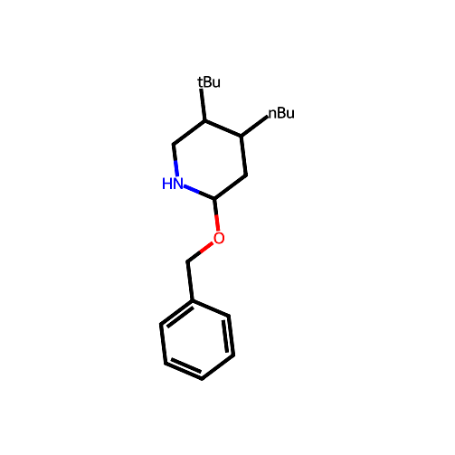 CCCCC1CC(OCc2ccccc2)NCC1C(C)(C)C